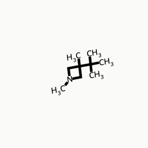 CN1CC(C)(C(C)(C)C)C1